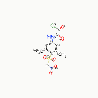 Cc1cc(NC(=O)C(=O)Cl)cc(C)c1S(=O)(=O)C[N+](=O)[O-]